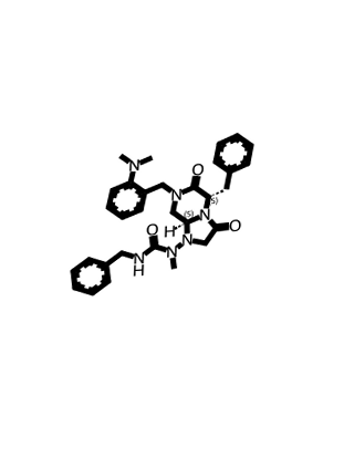 CN(C)c1ccccc1CN1C[C@H]2N(C(=O)CN2N(C)C(=O)NCc2ccccc2)[C@@H](Cc2ccccc2)C1=O